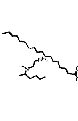 CCCCC(C)N(C)CCN.CCCCCCCCCCCCCCCCCC(=O)O